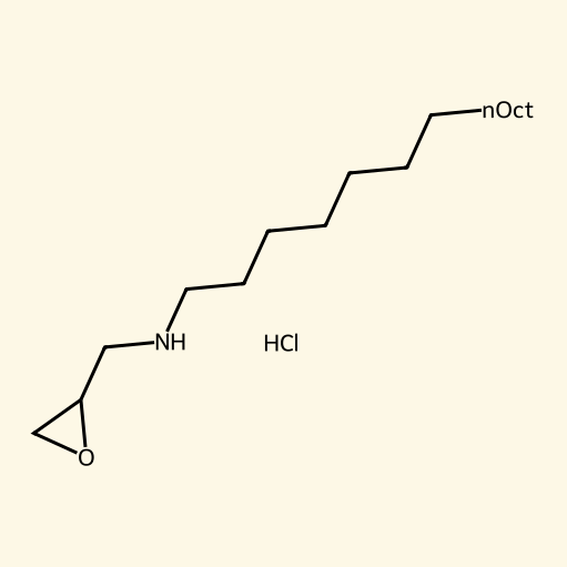 CCCCCCCCCCCCCCCNCC1CO1.Cl